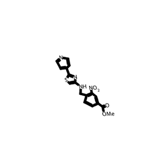 COC(=O)c1ccc(CNc2csc(-c3ccncc3)n2)c([N+](=O)[O-])c1